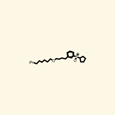 CC(C)CCCCCCOCCCCc1cccc(S(=O)(=O)C2CCCC2)c1